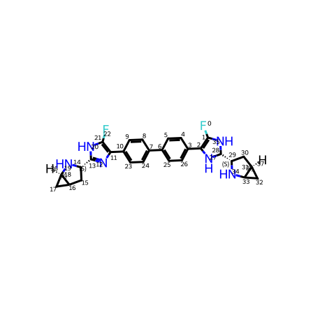 FC1=C(c2ccc(-c3ccc(-c4nc([C@@H]5CC6C[C@H]6N5)[nH]c4F)cc3)cc2)NC([C@@H]2C[C@H]3CC3N2)N1